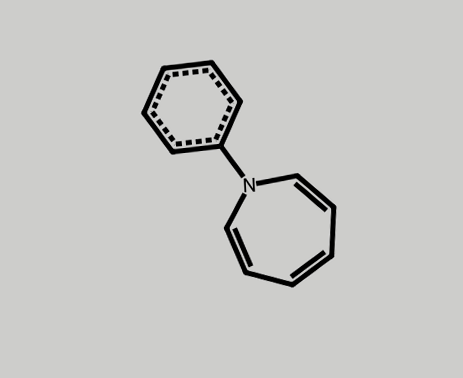 C1=CC=CN(c2ccccc2)C=C1